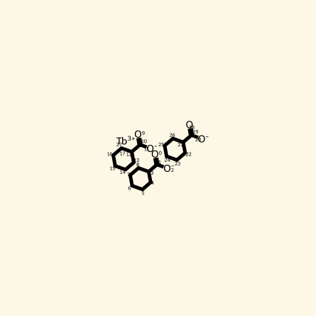 O=C([O-])C1CCCCC1.O=C([O-])C1CCCCC1.O=C([O-])C1CCCCC1.[Tb+3]